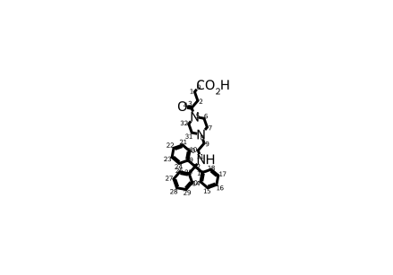 O=C(O)CCC(=O)N1CCN(CCNC(c2ccccc2)(c2ccccc2)c2ccccc2)CC1